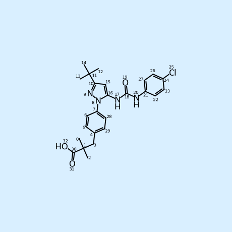 CC(C)(Cc1ccc(-n2nc(C(C)(C)C)cc2NC(=O)Nc2ccc(Cl)cc2)cc1)C(=O)O